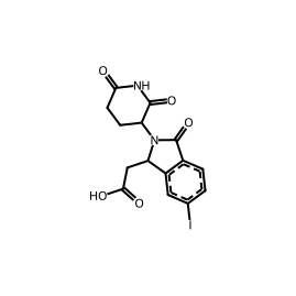 O=C(O)CC1c2cc(I)ccc2C(=O)N1C1CCC(=O)NC1=O